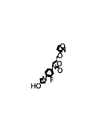 O=C1O[C@@H](COc2ccon2)CN1c1ccc(N2CC(O)C2)c(F)c1